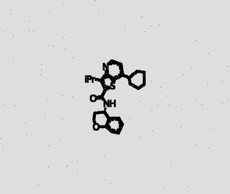 CC(C)c1c(C(=O)N[C@H]2CCOc3ccccc32)sc2c(C3CCCCC3)ccnc12